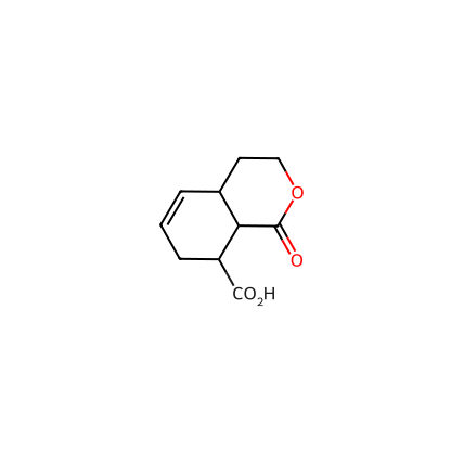 O=C(O)C1CC=CC2CCOC(=O)C21